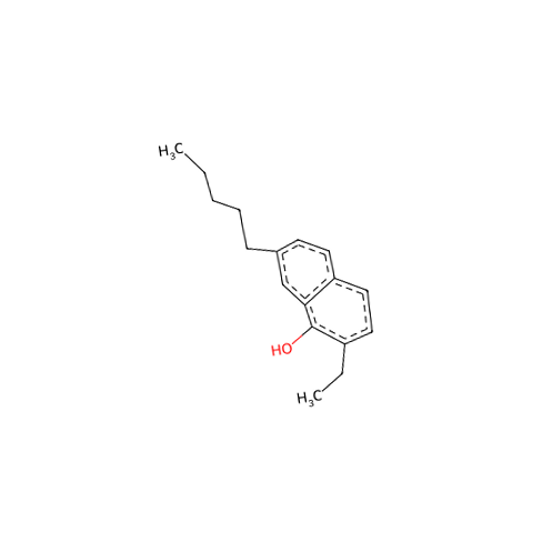 CCCCCc1ccc2ccc(CC)c(O)c2c1